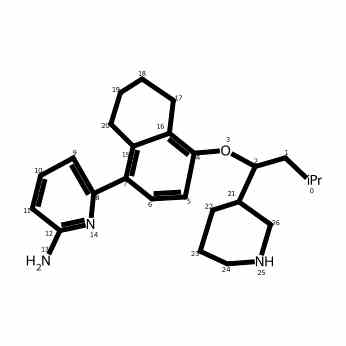 CC(C)CC(Oc1ccc(-c2cccc(N)n2)c2c1CCCC2)C1CCCNC1